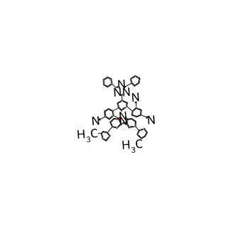 Cc1cccc(-c2ccc3c(c2)c2cc(-c4cccc(C)c4)ccc2n3-c2c(-c3ccc(C#N)cc3C#N)cc(-c3nc(-c4ccccc4)nc(-c4ccccc4)n3)cc2-c2ccc(C#N)cc2C#N)c1